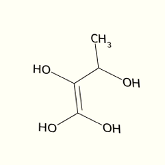 CC(O)C(O)=C(O)O